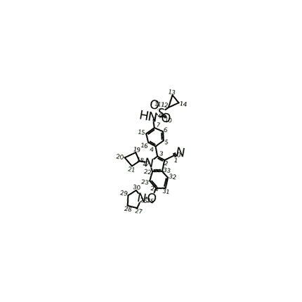 N#Cc1c(-c2ccc(NS(=O)(=O)C3CC3)cc2)n(C2CCC2)c2cc(ON3CCCC3)ccc12